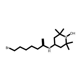 C=C(CCCCCBr)NC1CC(C)(C)N(O)C(C)(C)C1